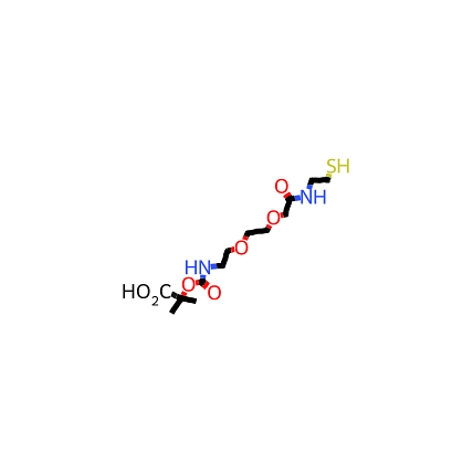 CC(C)(OC(=O)NCCOCCOCC(=O)NCCS)C(=O)O